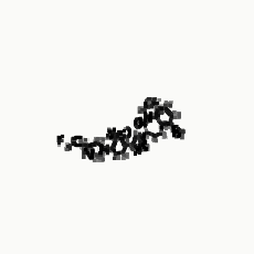 COc1cc(-c2cn(C3CCc4c(Br)cccc4N(CC(F)(F)F)C3=O)nn2)ccc1-n1cnc(C(F)(F)F)c1